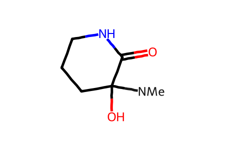 CNC1(O)CCCNC1=O